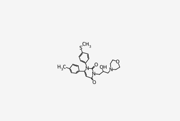 CSc1ccc(-n2c(-c3ccc(C)cc3)cc(=O)n(CC(O)CN3CCOCC3)c2=O)cc1